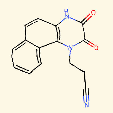 N#CCCn1c(=O)c(=O)[nH]c2ccc3ccccc3c21